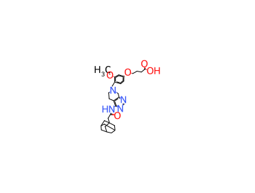 COc1cc(OCCCC(=O)O)ccc1CN1CCc2c(ncnc2NC(=O)CC23CC4CC(CC(C4)C2)C3)C1